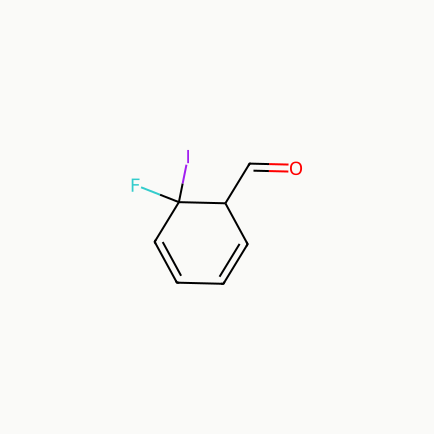 O=CC1C=CC=CC1(F)I